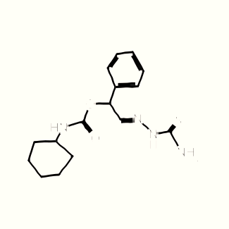 NC(=S)NN=CC(OC(=O)NC1CCCCC1)c1ccccc1